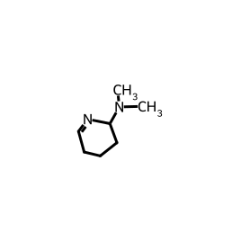 CN(C)C1CCCC=N1